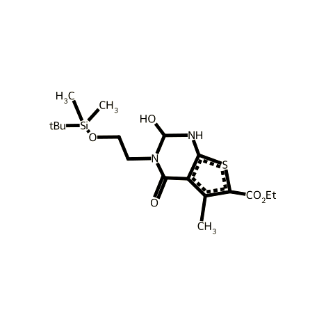 CCOC(=O)c1sc2c(c1C)C(=O)N(CCO[Si](C)(C)C(C)(C)C)C(O)N2